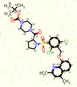 Cc1cc(C)c2cccc(OCc3c(Cl)ccc(S(=O)(=O)N4CCC[C@H]4C(=O)N4CCN(C(=O)OC(C)(C)C)CC4)c3Cl)c2n1